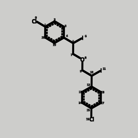 Clc1ccc(C(I)COCC(I)c2ccc(Cl)cc2)cc1